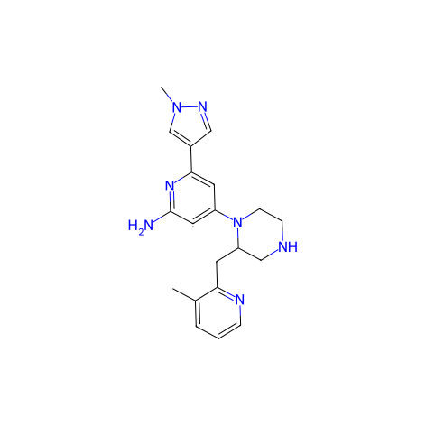 Cc1cccnc1CC1CNCCN1c1[c]c(N)nc(-c2cnn(C)c2)c1